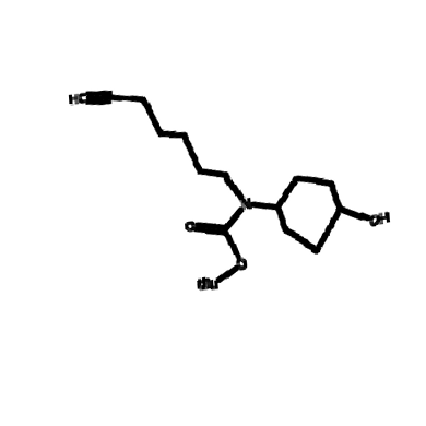 C#CCCCCCN(C(=O)OC(C)(C)C)C1CCC(O)CC1